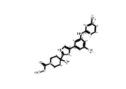 CCCCOC(=O)N1CCC(O)(c2ncc(-c3cc(C)cc(Nc4nccc(C(F)(F)F)n4)c3)s2)CC1